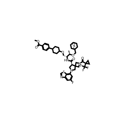 COC(=O)c1ccc(C2CCC(OC[C@@H](NC(=O)[C@@H]3CN(c4cc(F)cc5ncsc45)CC34CN(C(=O)C3(C(F)(F)F)CC3)C4)[C@@H](C)OCC34CCC(CC3)OC4)CC2)cc1